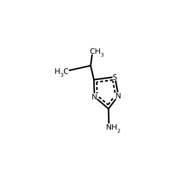 CC(C)c1nc(N)ns1